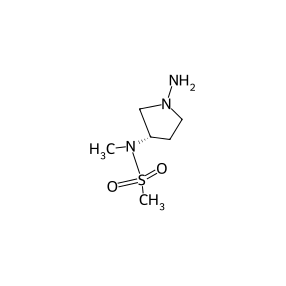 CN([C@H]1CCN(N)C1)S(C)(=O)=O